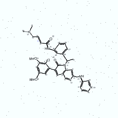 COc1cc(OC)c(Cl)c(-c2cc3cnc(Nc4cccnc4)cc3n(C(C)c3cccc(NC(=O)/C=C/CN(C)C)c3)c2=O)c1